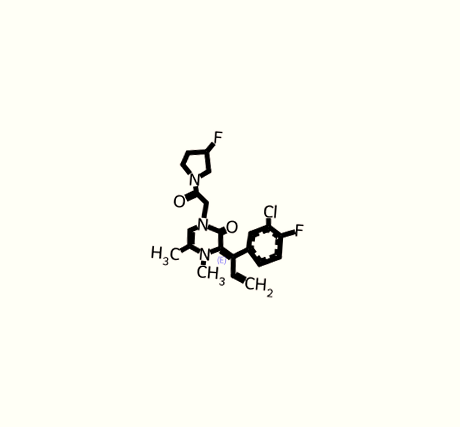 C=C/C(=C1/C(=O)N(CC(=O)N2CCC(F)C2)C=C(C)N1C)c1ccc(F)c(Cl)c1